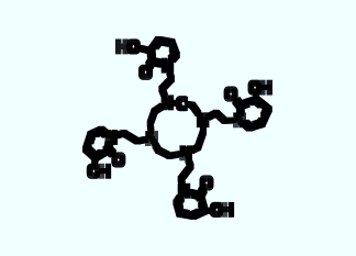 O=c1c(O)cccn1CCN1CCN(CCn2cccc(O)c2=O)CCN(CCn2cccc(O)c2=O)CCN(CCn2cccc(O)c2=O)CC1